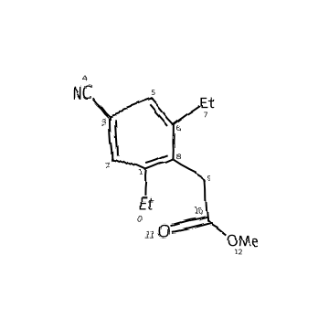 CCc1cc(C#N)cc(CC)c1CC(=O)OC